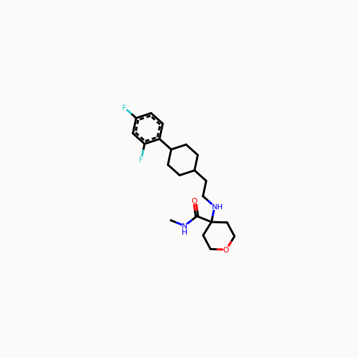 CNC(=O)C1(NCCC2CCC(c3ccc(F)cc3F)CC2)CCOCC1